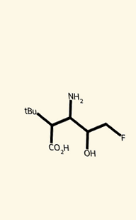 CC(C)(C)C(C(=O)O)C(N)C(O)CF